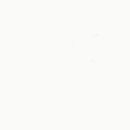 O=C1OC=C(c2ccccc2)CS1